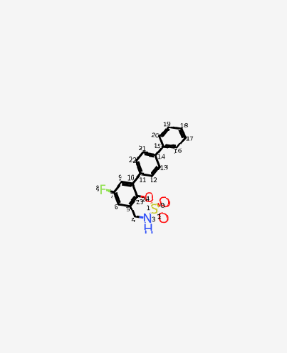 O=S1(=O)NCc2cc(F)cc(-c3ccc(-c4ccccc4)cc3)c2O1